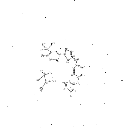 FC(F)(F)c1cc(-c2nnc(Nc3ccc(Oc4cncnc4)cc3)[nH]2)ccc1Cl.O=C(O)C(F)(F)F